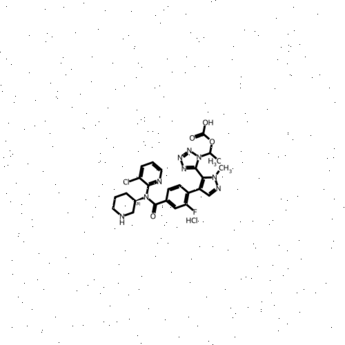 CC(OC(=O)O)n1nnnc1-c1c(-c2ccc(C(=O)N(c3ncccc3Cl)[C@@H]3CCCNC3)cc2F)cnn1C.Cl